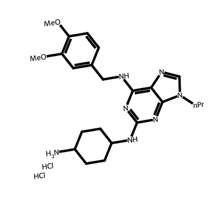 CCCn1cnc2c(NCc3ccc(OC)c(OC)c3)nc(NC3CCC(N)CC3)nc21.Cl.Cl